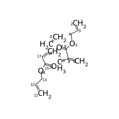 C=C.C=CCOC(=O)C(=C)C.C=CCOC(=O)C=C